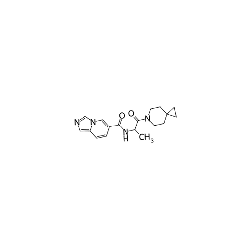 CC(NC(=O)c1ccc2cncn2c1)C(=O)N1CCC2(CC1)CC2